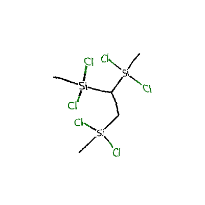 C[Si](Cl)(Cl)CC([Si](C)(Cl)Cl)[Si](C)(Cl)Cl